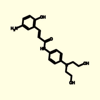 Nc1ccc(O)c(/C=C/C(=O)Nc2ccc(N(CCO)CCO)cc2)c1